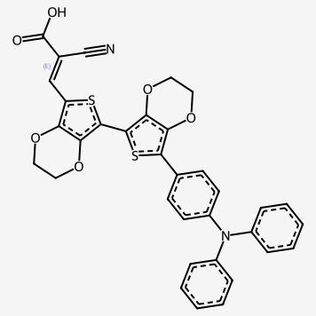 N#C/C(=C\c1sc(-c2sc(-c3ccc(N(c4ccccc4)c4ccccc4)cc3)c3c2OCCO3)c2c1OCCO2)C(=O)O